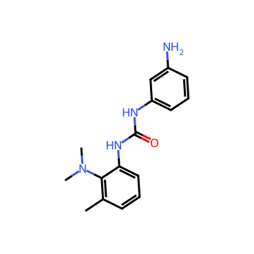 Cc1cccc(NC(=O)Nc2cccc(N)c2)c1N(C)C